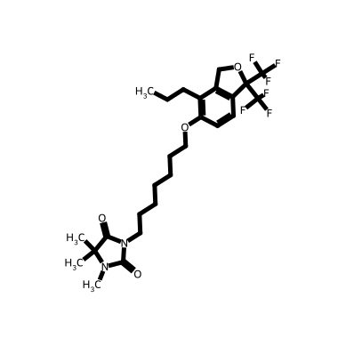 CCCc1c(OCCCCCCCN2C(=O)N(C)C(C)(C)C2=O)ccc2c1COC2(C(F)(F)F)C(F)(F)F